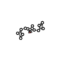 C[Si](C)(C)C1([Si](C)(C)C)c2cc3cc(-c4cccc(N(c5ccccc5)c5cccc6c5sc5ccccc56)c4)ccc3cc2-c2c1c1ccc(-c3cccc(N(c4ccccc4)c4cccc5c4sc4ccccc45)c3)cc1c1ccccc21